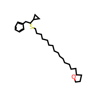 c1ccc(CC(SCCCCCCCCCCCCCCCC2CCCO2)C2CC2)cc1